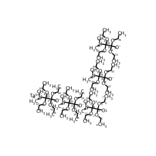 CCOC([O-])(OCC)C(OCC)(OCC)N(C)C.CCOC([O-])(OCC)C(OCC)(OCC)N(C)C.CCOC([O-])(OCC)C(OCC)(OCC)N(C)C.CCOC([O-])(OCC)C(OCC)(OCC)N(C)C.CCOC([O-])(OCC)C(OCC)(OCC)N(C)C.[Ta+5]